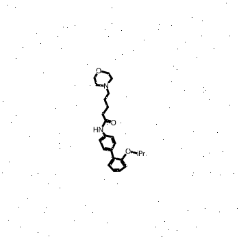 CC(C)Oc1ccccc1-c1ccc(NC(=O)CCCCN2CCOCC2)cc1